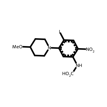 COC1CCN(c2cc(NC(=O)O)c([N+](=O)[O-])cc2I)CC1